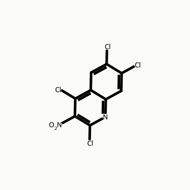 O=[N+]([O-])c1c(Cl)nc2cc(Cl)c(Cl)cc2c1Cl